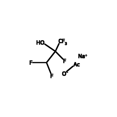 CC(=O)[O-].OC(F)(C(F)F)C(F)(F)F.[Na+]